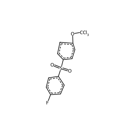 O=S(=O)(c1ccc(F)cc1)c1ccc(OC(Cl)(Cl)Cl)cc1